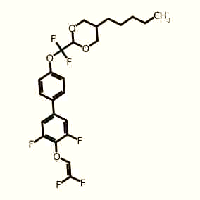 CCCCCC1COC(C(F)(F)Oc2ccc(-c3cc(F)c(OC=C(F)F)c(F)c3)cc2)OC1